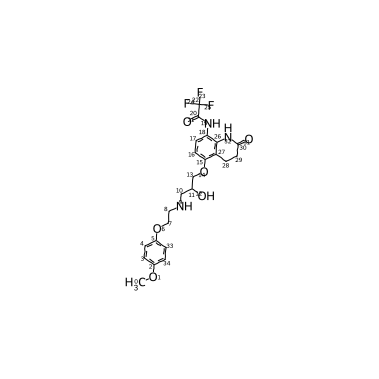 COc1ccc(OCCNCC(O)COc2ccc(NC(=O)C(F)(F)F)c3c2CCC(=O)N3)cc1